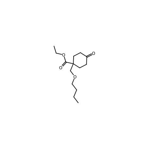 CCCCOCC1(C(=O)OCC)CCC(=O)CC1